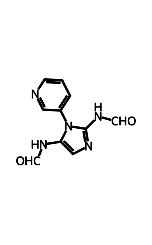 O=CNc1cnc(NC=O)n1-c1cccnc1